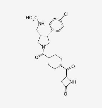 O=C(O)NC[C@H]1CN(C(=O)C2CCN(C(=O)[C@@H]3CC(=O)N3)CC2)C[C@H]1c1ccc(Cl)cc1